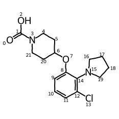 O=C(O)N1CCC(Oc2cccc(Cl)c2N2CCCC2)CC1